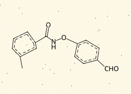 Cc1cccc(C(=O)NOc2ccc(C=O)cc2)c1